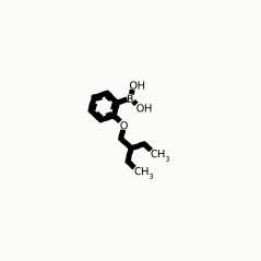 CCC(CC)COc1ccccc1B(O)O